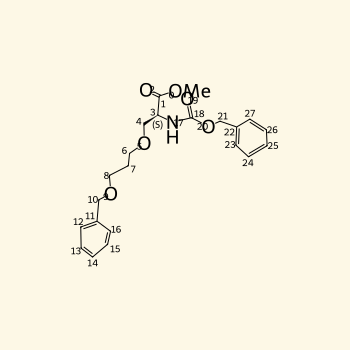 COC(=O)[C@H](COCCCOCc1ccccc1)NC(=O)OCc1ccccc1